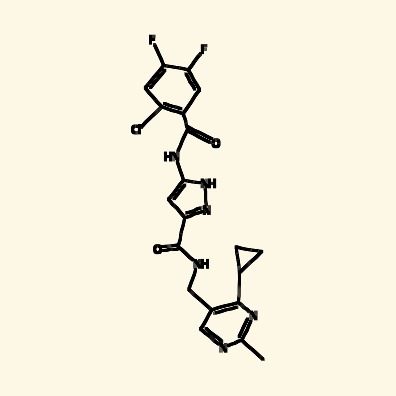 Cc1ncc(CNC(=O)c2cc(NC(=O)c3cc(F)c(F)cc3Cl)[nH]n2)c(C2CC2)n1